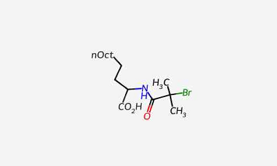 CCCCCCCCCCC(NC(=O)C(C)(C)Br)C(=O)O